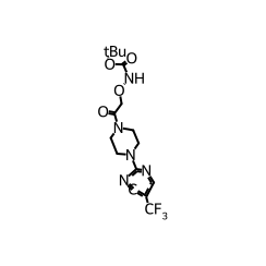 CC(C)(C)OC(=O)NOCC(=O)N1CCN(c2ncc(C(F)(F)F)cn2)CC1